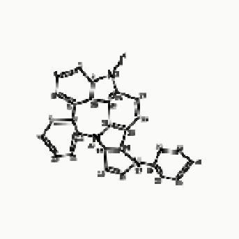 In1c2cccc3c4ccccc4n4c5ccn(-c6ccccc6)c5c5ccc1c(c32)c54